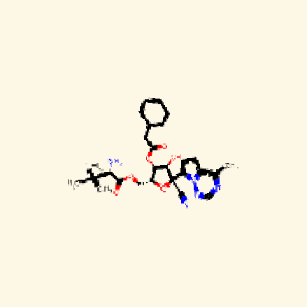 Cc1ncnn2c([C@]3(C#N)O[C@H](COC(=O)[C@@H](N)C(C)(C)C)[C@@H](OC(=O)CC4CCCCC4)[C@H]3O)ccc12